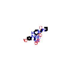 COc1ccc(N/C(=C/[N+](=O)[O-])N[C@H]2CCCCN(CC(=O)N3CCCC3)C2=O)cc1